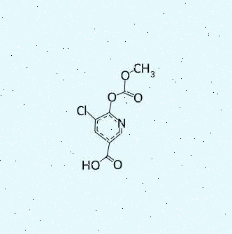 COC(=O)Oc1ncc(C(=O)O)cc1Cl